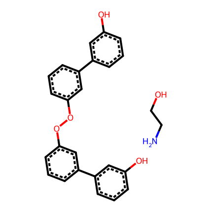 NCCO.Oc1cccc(-c2cccc(OOc3cccc(-c4cccc(O)c4)c3)c2)c1